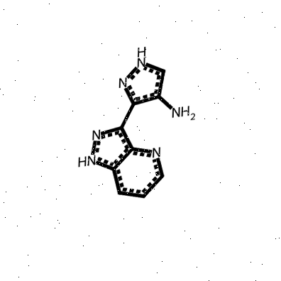 Nc1c[nH]nc1-c1n[nH]c2cccnc12